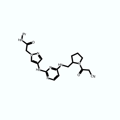 CC(C)NC(=O)Cn1cc(Nc2nccc(NCC3CCCN3C(=O)CC#N)n2)cn1